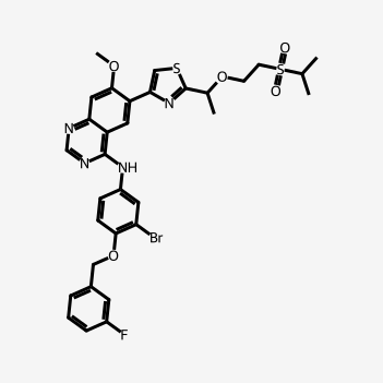 COc1cc2ncnc(Nc3ccc(OCc4cccc(F)c4)c(Br)c3)c2cc1-c1csc(C(C)OCCS(=O)(=O)C(C)C)n1